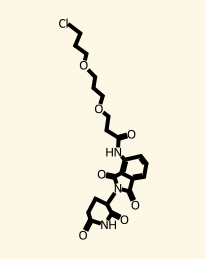 O=C1CCC(N2C(=O)c3cccc(NC(=O)CCOCCCOCCCCl)c3C2=O)C(=O)N1